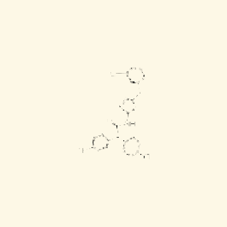 O=C(Nc1ncc(Cc2cccc(Cl)c2)s1)C(c1ccc(Cl)cc1)c1ccc(Cl)cc1